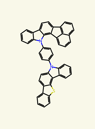 c1cc2c3c(cccc3c1)-c1c-2ccc2c3ccccc3n(-c3ccc(-n4c5ccccc5c5c6sc7ccccc7c6ccc54)cc3)c12